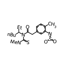 CCCCC(CC)N(C(=O)Cc1ccc(C)c(N=S(=O)=O)c1)C(=S)NC